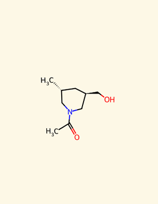 CC(=O)N1C[C@H](C)C[C@@H](CO)C1